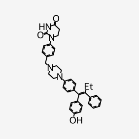 CCC(=C(c1ccc(O)cc1)c1ccc(N2CCN(Cc3ccc(N4CCC(=O)NC4=O)cc3)CC2)cc1)c1ccccc1